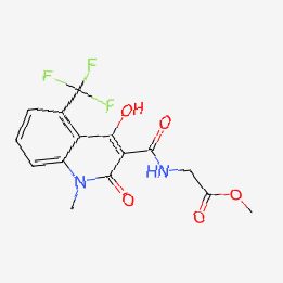 COC(=O)CNC(=O)c1c(O)c2c(C(F)(F)F)cccc2n(C)c1=O